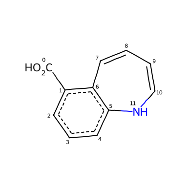 O=C(O)c1cccc2c1C=CC=CN2